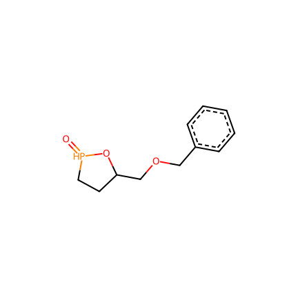 O=[PH]1CCC(COCc2ccccc2)O1